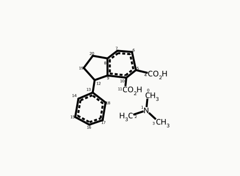 CN(C)C.O=C(O)c1ccc2c(c1C(=O)O)C(c1ccccc1)CC2